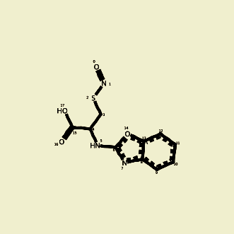 O=NSCC(Nc1nc2ccccc2o1)C(=O)O